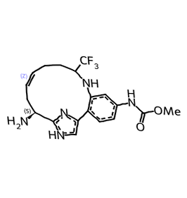 COC(=O)Nc1ccc2c(c1)NC(C(F)(F)F)CC/C=C\C[C@H](N)c1nc-2c[nH]1